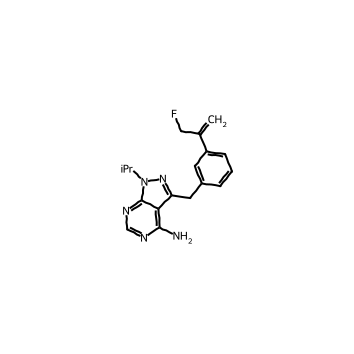 C=C(CF)c1cccc(Cc2nn(C(C)C)c3ncnc(N)c23)c1